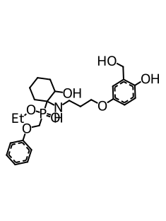 CCOP(=O)(COc1ccccc1)C1(NCCCOc2ccc(O)c(CO)c2)CCCCC1O